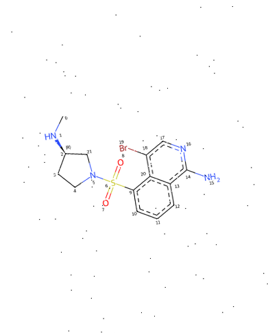 CN[C@@H]1CCN(S(=O)(=O)c2cccc3c(N)ncc(Br)c23)C1